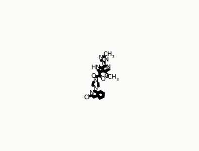 COc1cnc(-n2cnc(C)n2)c2[nH]cc(C(=O)C(=O)N3CCN(c4nc(Cl)cc5ccccc45)CC3)c12